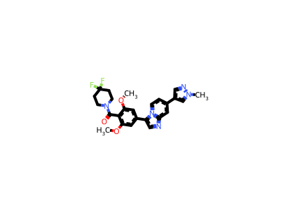 COc1cc(-c2cnc3cc(-c4cnn(C)c4)ccn23)cc(OC)c1C(=O)N1CCC(F)(F)CC1